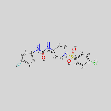 O=C(Nc1ccc(F)cc1)NC1CCN(S(=O)(=O)c2ccc(Cl)cc2)CC1